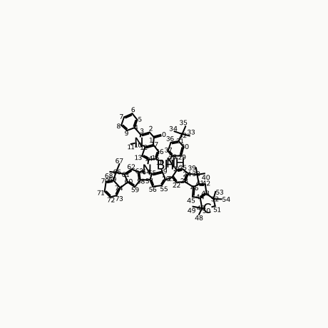 C=C1C=C(c2ccccc2)N(C)c2cc3c(cc21)Bc1c(-c2cc4c(cc2Nc2ccc(C(C)(C)C)cc2)C(C)(C)c2cc5c(cc2-4)C(C)(C)CCC5(C)C)ccc2c4cc5c(cc4n-3c12)C(C)(C)c1ccccc1-5